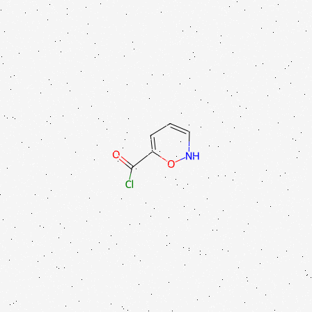 O=C(Cl)C1=CC=CNO1